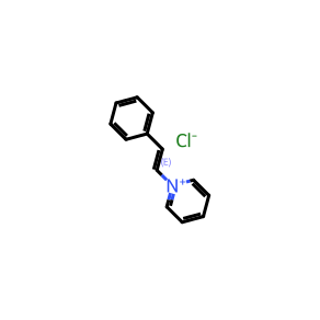 C(=C\[n+]1ccccc1)/c1ccccc1.[Cl-]